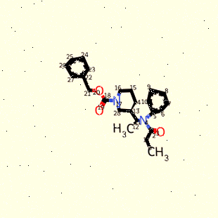 CCC(=O)N(c1ccccc1)[C@@H](C)[C@@H]1CCCN(C(=O)OCc2ccccc2)C1